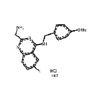 COc1ccc(CNc2nc(CN)nc3ccc(F)cc23)cc1.Cl.Cl